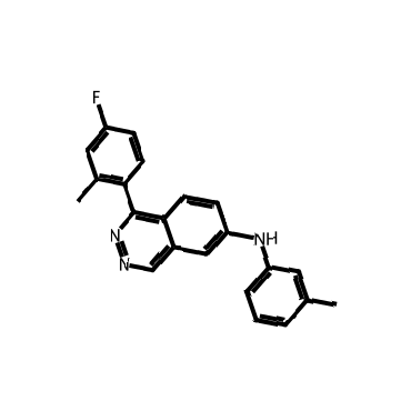 Cc1cccc(Nc2ccc3c(-c4ccc(F)cc4C)nncc3c2)c1